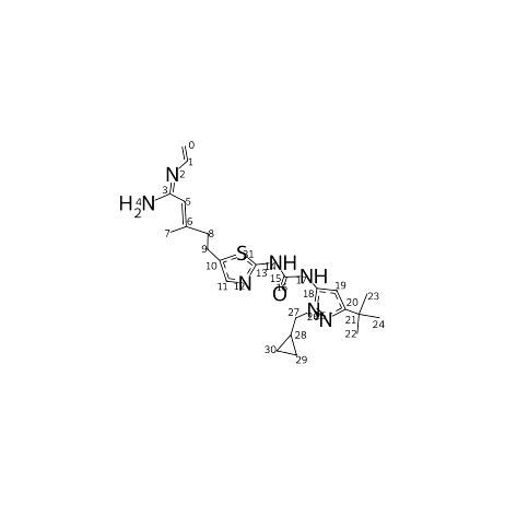 C=C/N=C(N)\C=C(/C)CCc1cnc(NC(=O)Nc2cc(C(C)(C)C)nn2CC2CC2)s1